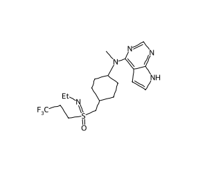 CCN=S(=O)(CCC(F)(F)F)CC1CCC(N(C)c2ncnc3[nH]ccc23)CC1